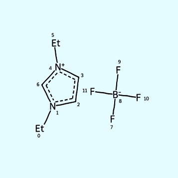 CCn1cc[n+](CC)c1.F[B-](F)(F)F